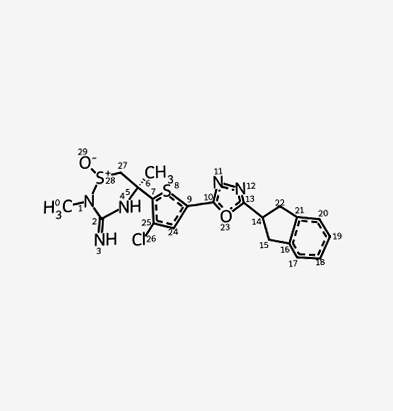 CN1C(=N)N[C@](C)(c2sc(-c3nnc(C4Cc5ccccc5C4)o3)cc2Cl)C[S+]1[O-]